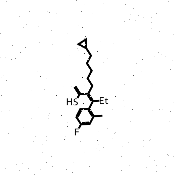 C=C(S)/C(CCCCCC1CC1)=C(/CC)c1ccc(F)cc1C